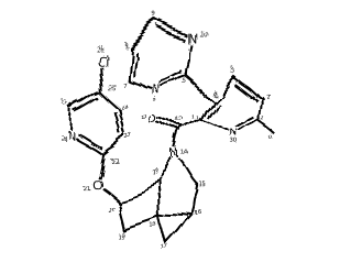 Cc1ccc(-c2ncccn2)c(C(=O)N2CC3CC34CC(Oc3ccc(Cl)cn3)C24)n1